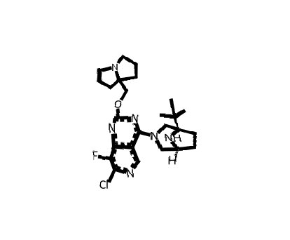 CC(C)(C)[C@]12CC[C@@H](CN(c3nc(OCC45CCCN4CCC5)nc4c(F)c(Cl)ncc34)C1)N2